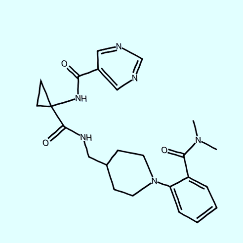 CN(C)C(=O)c1ccccc1N1CCC(CNC(=O)C2(NC(=O)c3cncnc3)CC2)CC1